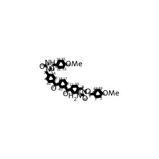 COc1ccc(CON(Cc2ccc(C(=O)c3cccc(C(=O)c4ccc(CN(OCc5ccc(OC)cc5)C(N)=O)cc4)c3)cc2)C(N)=O)cc1